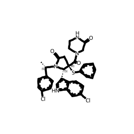 C[C@@H](c1ccc(Cl)cc1)N1C(=O)C[C@](Sc2ccccc2)(C(=O)N2CCNC(=O)C2)[C@@H]1c1c[nH]c2cc(Cl)ccc12